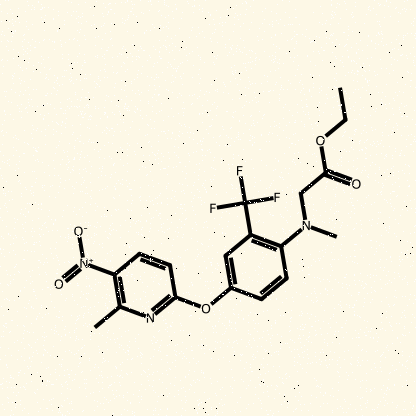 CCOC(=O)CN(C)c1ccc(Oc2ccc([N+](=O)[O-])c(C)n2)cc1C(F)(F)F